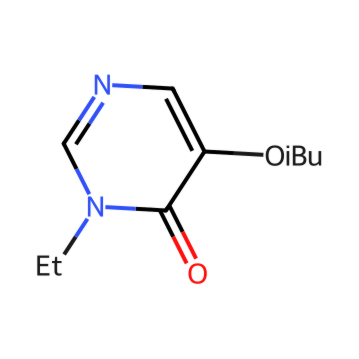 CCn1cncc(OCC(C)C)c1=O